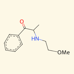 COCCNC(C)C(=O)c1ccccc1